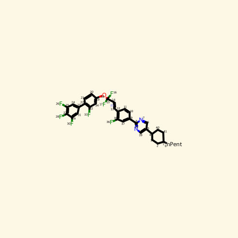 CCCCCC1CCC(c2cnc(-c3ccc(/C=C/C(F)(F)Oc4ccc(-c5cc(F)c(F)c(F)c5)c(F)c4)c(F)c3)nc2)CC1